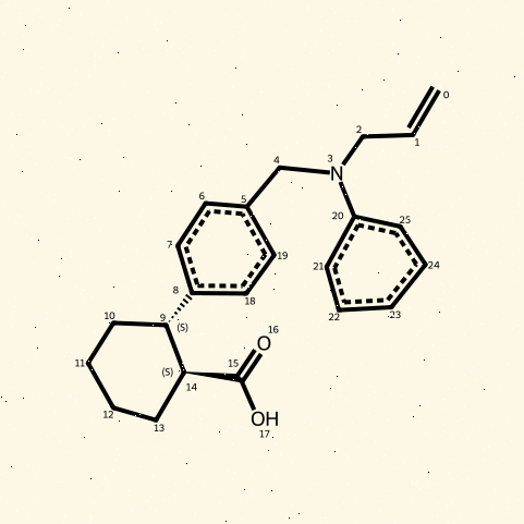 C=CCN(Cc1ccc([C@H]2CCCC[C@@H]2C(=O)O)cc1)c1ccccc1